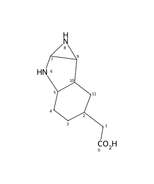 O=C(O)CC1CCC2NC3NC3C2C1